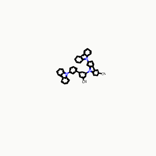 N#Cc1cc(-c2cccc(-n3c4ccccc4c4ccccc43)c2)cc(-n2c3ccc(C#N)cc3c3ccc(-n4c5ccccc5c5ccccc54)cc32)c1